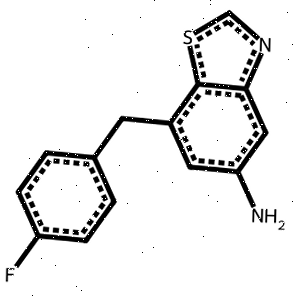 Nc1cc(Cc2ccc(F)cc2)c2scnc2c1